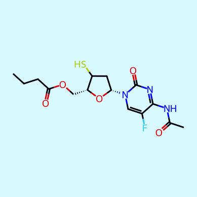 CCCC(=O)OC[C@H]1O[C@@H](n2cc(F)c(NC(C)=O)nc2=O)CC1S